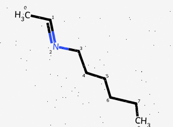 CC=NCCCCCC